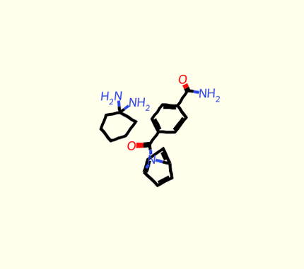 NC(=O)c1ccc(C(=O)n2c3ccc2cc3)cc1.NC1(N)CCCCC1